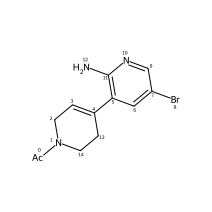 CC(=O)N1CC=C(c2cc(Br)cnc2N)CC1